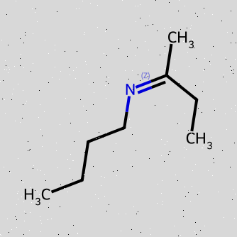 CCCC/N=C(/C)CC